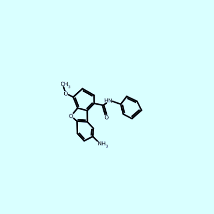 COc1ccc(C(=O)Nc2ccccc2)c2c1oc1ccc(N)cc12